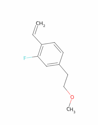 C=Cc1ccc(CCOC)cc1F